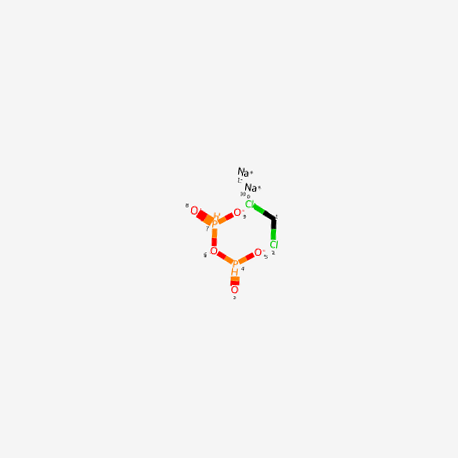 ClCCl.O=[PH]([O-])O[PH](=O)[O-].[Na+].[Na+]